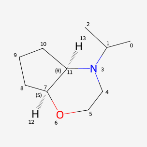 CC(C)N1CCO[C@H]2CCC[C@H]21